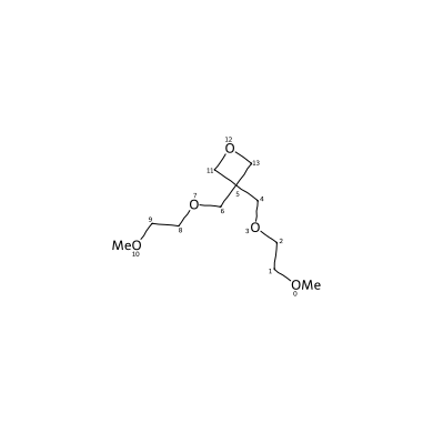 COCCOCC1(COCCOC)COC1